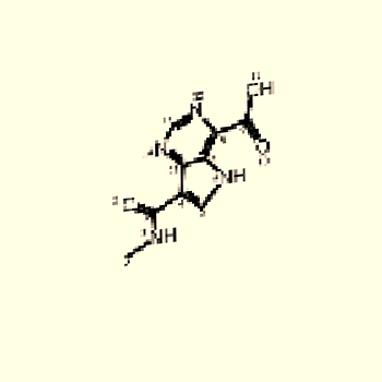 CNC(=O)c1c[nH]c2c(C(=O)O)ncnc12